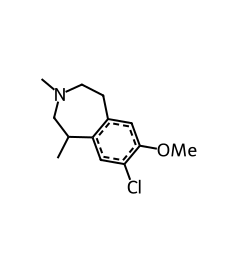 COc1cc2c(cc1Cl)C(C)CN(C)CC2